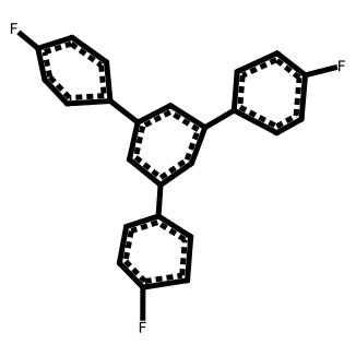 Fc1ccc(-c2cc(-c3ccc(F)cc3)cc(-c3ccc(F)cc3)c2)cc1